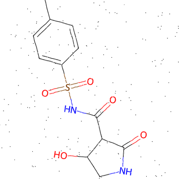 Cc1ccc(S(=O)(=O)NC(=O)C2C(=O)NCC2O)cc1